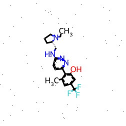 CCN1CCC[C@H]1CNc1ccc(-c2c(C)cc(C(F)(F)F)cc2O)nn1